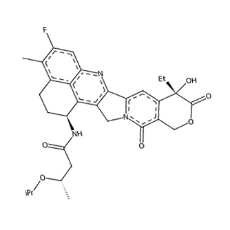 CC[C@@]1(O)C(=O)OCc2c1cc1n(c2=O)Cc2c-1nc1cc(F)c(C)c3c1c2[C@@H](NC(=O)C[C@H](C)OC(C)C)CC3